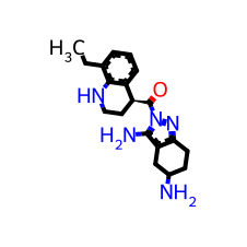 CCc1cccc2c1NCC[C@@H]2C(=O)n1nc2c(c1N)CC(N)CC2